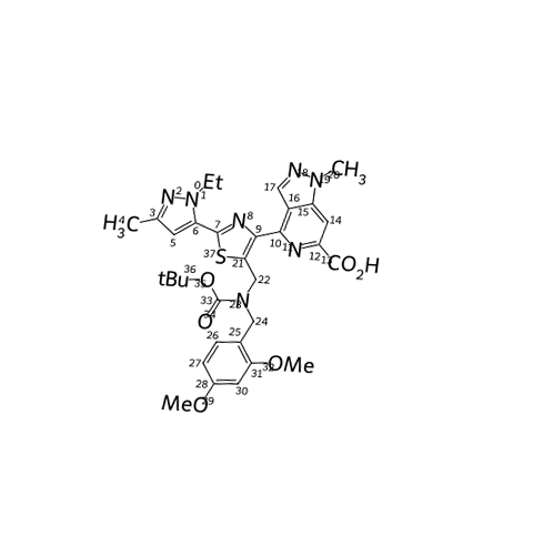 CCn1nc(C)cc1-c1nc(-c2nc(C(=O)O)cc3c2cnn3C)c(CN(Cc2ccc(OC)cc2OC)C(=O)OC(C)(C)C)s1